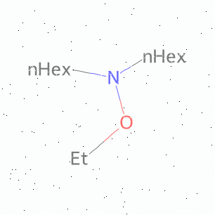 CCCCCCN(CCCCCC)OCC